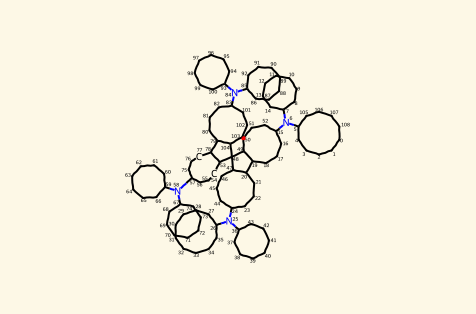 C1CCCCC(N(C2CCCCCCC2)C2CCCC3C4CCCC(N(C5CCCCCCCCC5)C5CCCCCCC5)CCCC4C4(C3CCC2)C2CCCC(N(C3CCCCCCC3)C3CCCCCCC3)CCCC2C2CCCC(N(C3CCCCCCC3)C3CCCCCCC3)CCCC24)CCCC1